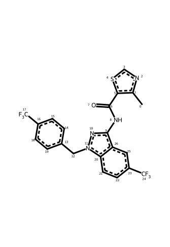 Cc1ncsc1C(=O)Nc1nn(Cc2ccc(C(F)(F)F)cc2)c2ccc(C(F)(F)F)cc12